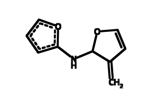 C=C1C=COC1Nc1ccco1